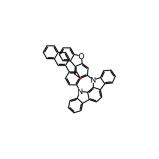 c1ccc2cc(-c3ccc(-n4c5ccccc5c5ccc6c7ccccc7n(-c7ccc8c(c7)oc7ccccc78)c6c54)cc3)ccc2c1